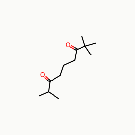 CC(C)C(=O)CCCC(=O)C(C)(C)C